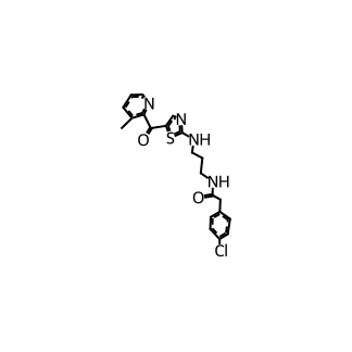 Cc1cccnc1C(=O)c1cnc(NCCCNC(=O)Cc2ccc(Cl)cc2)s1